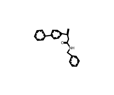 C=C(CC(=O)NCc1ccccc1)c1ccc(-c2ccccc2)cc1